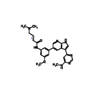 CNc1cc(-c2c[nH]c3ncc(-c4cc(NC(=O)/C=C/CN(C)C)cc(OC)c4)cc23)ncn1